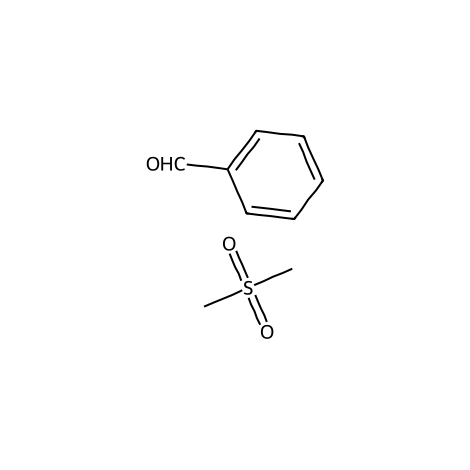 CS(C)(=O)=O.O=Cc1ccccc1